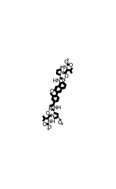 COC[C@H]1C[C@@H](c2ncc(-c3ccc4c(c3)COc3cc5c(ccc6nc([C@@H]7CC[C@H](C)N7C(=O)C(NC(=O)OC)C(C)C)[nH]c65)cc3-4)[nH]2)N(C(=O)[C@@H](NC(=O)OC)C(C)C)C1